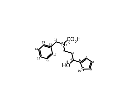 O=C(O)N(CCC(O)c1cccs1)Cc1ccccc1